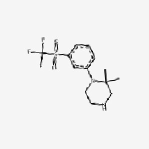 CC1(C)CNCCN1c1cccc(S(=O)(=O)C(F)(F)F)c1